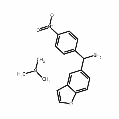 BC(c1ccc([N+](=O)[O-])cc1)c1ccc2occc2c1.CN(C)C